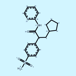 CS(=O)(=O)c1ccc(C(CC2CCCC2)C(=O)Nc2ccccn2)cc1